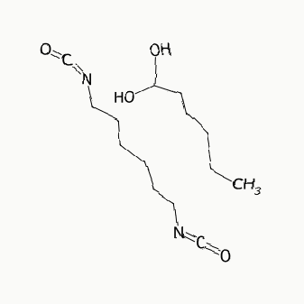 CCCCCC(O)O.O=C=NCCCCCCN=C=O